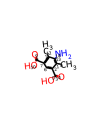 Cc1c(C(=O)O)cc(C(=O)O)c(C)c1N